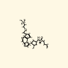 C[C@@H]1C[C@H](NS(=O)(=O)CCCF)C[C@@H]1c1cnc2cnc3c(ccn3COCC[Si](C)(C)C)n12